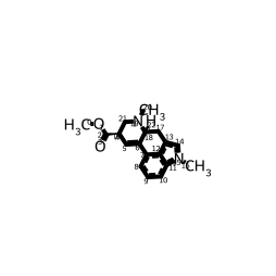 COC(=O)[C@@H]1C=C2c3cccc4c3c(cn4C)C[C@H]2N(C)C1